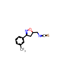 FC(F)(F)c1cccc(C2=NOC(CN=C=S)C2)c1